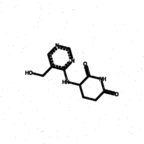 O=C1CCC(Nc2ncncc2CO)C(=O)N1